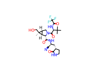 CC(C)(C)[C@H](NC(=O)C(F)(F)F)C(=O)N1C[C@H]2[C@@H]([C@H]1C(=O)N[C@H](C#N)C[C@@H]1CCNC1=O)[C@@]2(C)CO